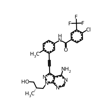 Cc1ccc(NC(=O)c2ccc(Cl)c(C(F)(F)F)c2)cc1C#Cc1nn(C[C@H](C)CO)c2ncnc(N)c12